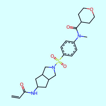 C=CC(=O)NC1CC2CN(S(=O)(=O)c3ccc(N(C)C(=O)C4CCOCC4)cc3)CC2C1